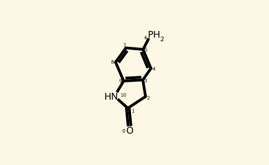 O=C1Cc2cc(P)ccc2N1